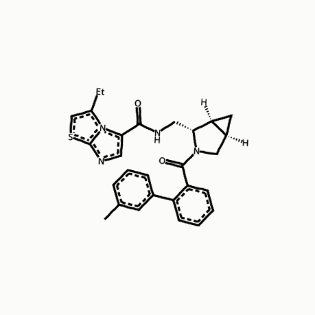 CCc1csc2ncc(C(=O)NC[C@@H]3[C@H]4C[C@H]4CN3C(=O)c3ccccc3-c3cccc(C)c3)n12